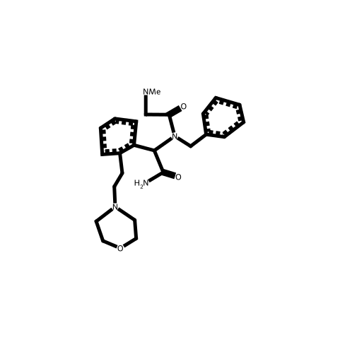 CNCC(=O)N(Cc1ccccc1)[C](C(N)=O)c1ccccc1CCN1CCOCC1